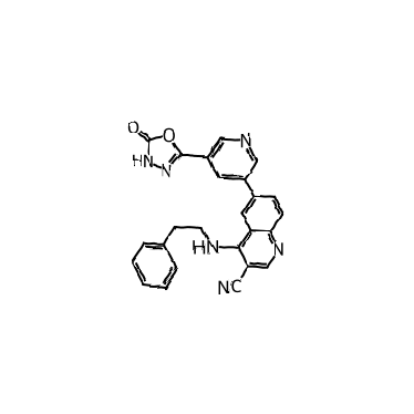 N#Cc1cnc2ccc(-c3cncc(-c4n[nH]c(=O)o4)c3)cc2c1NCCc1ccccc1